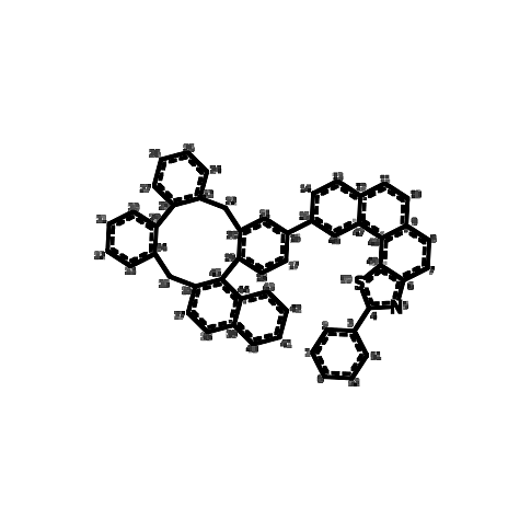 c1ccc(-c2nc3ccc4ccc5ccc(-c6ccc7c(c6)Cc6ccccc6-c6ccccc6Cc6ccc8ccccc8c6-7)cc5c4c3s2)cc1